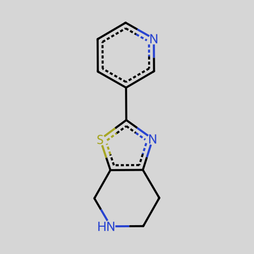 c1cncc(-c2nc3c(s2)CNCC3)c1